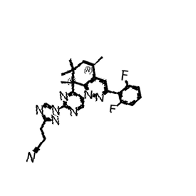 C[C@@H]1CC(C)(C)[C@@](C)(c2ccnc(-n3cnc(CCC#N)n3)n2)c2nnc(-c3c(F)cccc3F)cc21